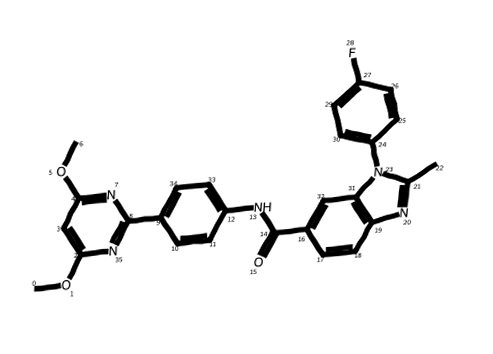 COc1cc(OC)nc(-c2ccc(NC(=O)c3ccc4nc(C)n(-c5ccc(F)cc5)c4c3)cc2)n1